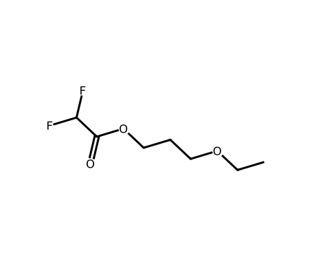 CCOCCCOC(=O)C(F)F